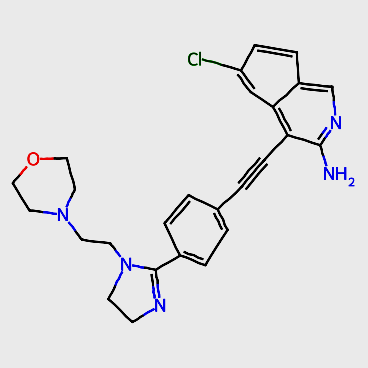 Nc1ncc2ccc(Cl)cc2c1C#Cc1ccc(C2=NCCN2CCN2CCOCC2)cc1